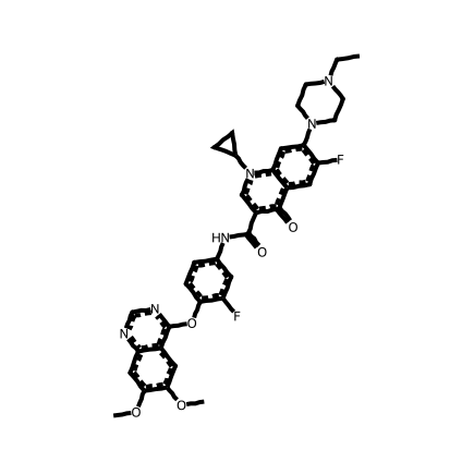 CCN1CCN(c2cc3c(cc2F)c(=O)c(C(=O)Nc2ccc(Oc4ncnc5cc(OC)c(OC)cc45)c(F)c2)cn3C2CC2)CC1